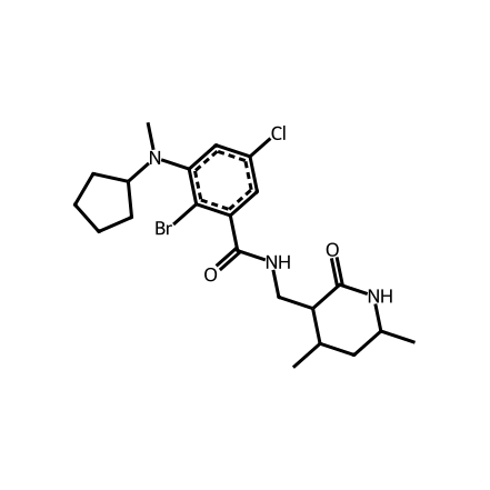 CC1CC(C)C(CNC(=O)c2cc(Cl)cc(N(C)C3CCCC3)c2Br)C(=O)N1